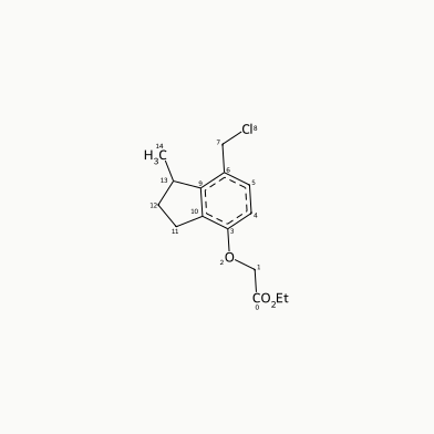 CCOC(=O)COc1ccc(CCl)c2c1CCC2C